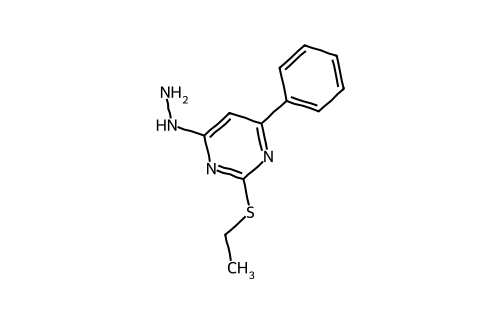 CCSc1nc(NN)cc(-c2ccccc2)n1